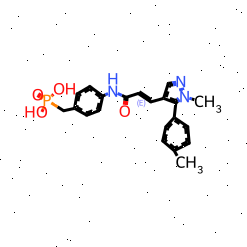 Cc1ccc(-c2c(/C=C/C(=O)Nc3ccc(CP(=O)(O)O)cc3)cnn2C)cc1